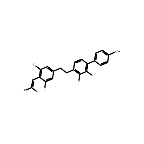 CCCc1ccc(-c2ccc(CCc3cc(F)c(C=C(F)F)c(F)c3)c(F)c2F)cc1